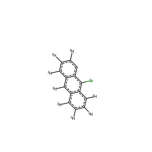 [2H]c1cc2c(Br)c3c([2H])c([2H])c([2H])c([2H])c3c([2H])c2c([2H])c1[2H]